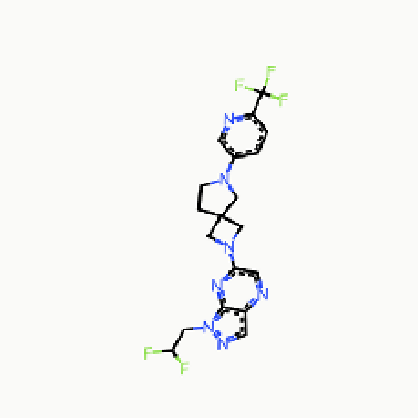 FC(F)Cn1ncc2ncc(N3CC4(CCN(c5ccc(C(F)(F)F)nc5)C4)C3)nc21